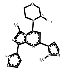 Cc1nc(-c2ccn[nH]2)c2nc(-c3ccnn3C)cc(N3CCOC[C@H]3C)n12